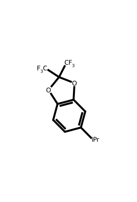 CC(C)c1ccc2c(c1)OC(C(F)(F)F)(C(F)(F)F)O2